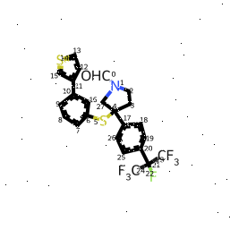 O=CN1CCC(Sc2cccc(-c3ccsc3)c2)(c2ccc(C(F)(C(F)(F)F)C(F)(F)F)cc2)C1